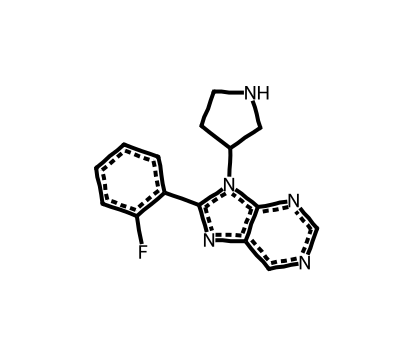 Fc1ccccc1-c1nc2cncnc2n1C1CCNC1